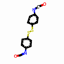 O=C=Nc1ccc(SSc2ccc(N=C=O)cc2)cc1